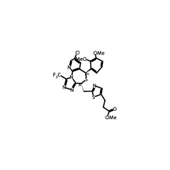 COC(=O)CCc1cnc(C[C@H]2S[C@H](c3cccc(OC)c3OC)c3cc(Cl)cnc3-n3c2nnc3C(F)(F)F)s1